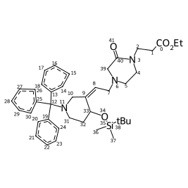 CCOC(=O)CCN1CCN(C/C=C2/CN(C(c3ccccc3)(c3ccccc3)c3ccccc3)CCC2O[Si](C)(C)C(C)(C)C)CC1=O